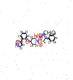 O=CN(O)C(CS(=O)(=O)N1CCC(Oc2ccccc2-c2ccno2)CC1)c1ccccc1